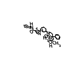 CC(C)(O)CC1(c2ccccc2)CCN(C2CCCN(c3ncc(C(=O)NC(C)(C)C)s3)C2)C(=O)O1